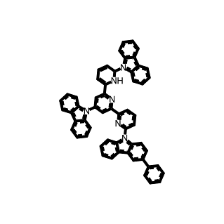 C1=CC(n2c3ccccc3c3ccccc32)NC(c2cc(-n3c4ccccc4c4ccccc43)cc(-c3cccc(-n4c5ccccc5c5cc(-c6ccccc6)ccc54)n3)n2)=C1